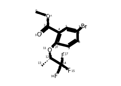 COC(=O)c1cc(Br)ccc1O[C@@H](C)C(F)(F)F